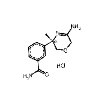 C[C@]1(c2cccc(C(N)=O)c2)COCC(N)=N1.Cl